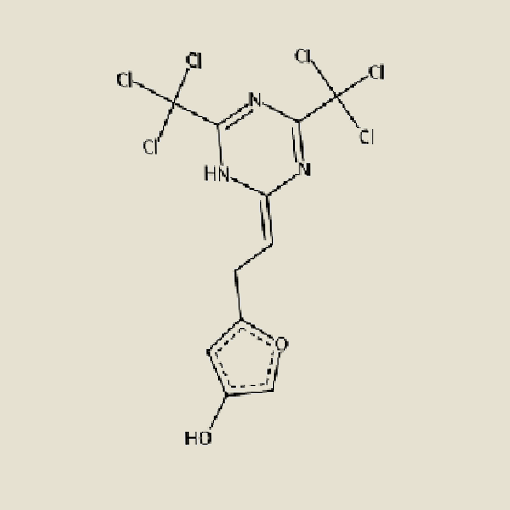 Oc1coc(CC=C2N=C(C(Cl)(Cl)Cl)N=C(C(Cl)(Cl)Cl)N2)c1